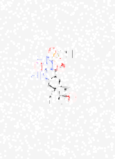 C[C@@H]1OCC[C@@H]1c1cc2c(=O)n(NS(C)(=O)=O)c(=O)[nH]c2cc1C(F)(F)F